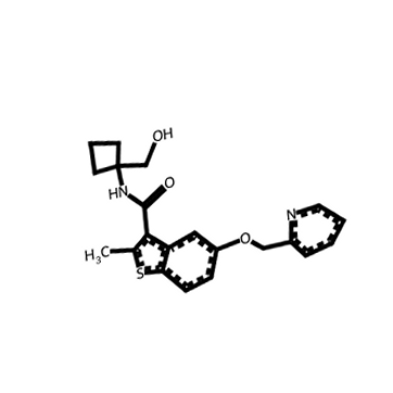 Cc1sc2ccc(OCc3ccccn3)cc2c1C(=O)NC1(CO)CCC1